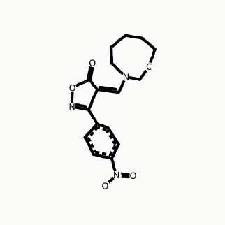 O=C1ON=C(c2ccc([N+](=O)[O-])cc2)C1=CN1CCCCCCC1